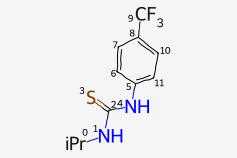 CC(C)NC(=S)Nc1ccc(C(F)(F)F)cc1